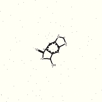 O=C1OC(O)c2cc3c(cc21)OCO3